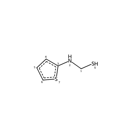 SCNc1cccs1